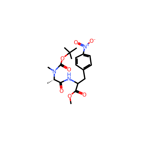 COC(=O)C(Cc1ccc([N+](=O)[O-])cc1)NC(=O)[C@H](C)N(C)C(=O)OC(C)(C)C